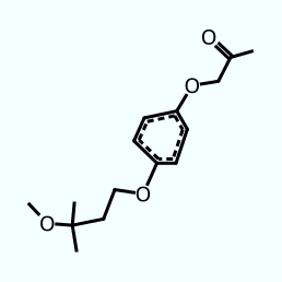 COC(C)(C)CCOc1ccc(OCC(C)=O)cc1